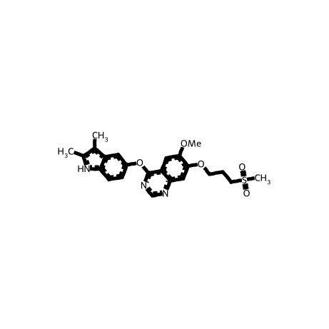 COc1cc2c(Oc3ccc4[nH]c(C)c(C)c4c3)ncnc2cc1OCCCS(C)(=O)=O